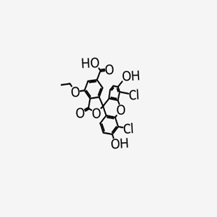 CCOc1cc(C(=O)O)cc2c1C(=O)OC21c2ccc(O)c(Cl)c2Oc2c1ccc(O)c2Cl